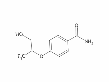 NC(=O)c1ccc(OC(CO)C(F)(F)F)cc1